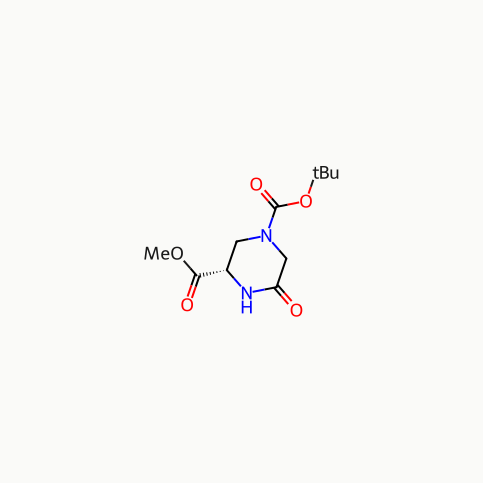 COC(=O)[C@@H]1CN(C(=O)OC(C)(C)C)CC(=O)N1